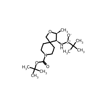 C[C@@H]1OCC2(CCN(C(=O)OC(C)(C)C)CC2)[C@@H]1N[S+]([O-])C(C)(C)C